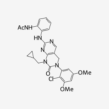 COc1cc(OC)c(Cl)c(N2Cc3cnc(Nc4ccccc4NC(C)=O)nc3N(CC3CC3)C2=O)c1